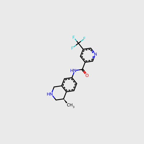 C[C@H]1CNCc2cc(NC(=O)c3cncc(C(F)(F)F)c3)ccc21